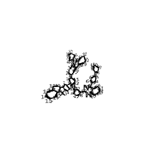 CC1(C)c2cc3c(cc2-c2ccc4ccccc4c21)c1cc(-c2ccc4c(c2)c2ccccc2n4-c2ccccc2)ccc1n3-c1cccc(-c2nc(-c3ccc(-c4ccccc4)cc3)c3ccccc3n2)c1